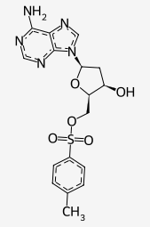 Cc1ccc(S(=O)(=O)OC[C@H]2O[C@@H](n3cnc4c(N)ncnc43)C[C@H]2O)cc1